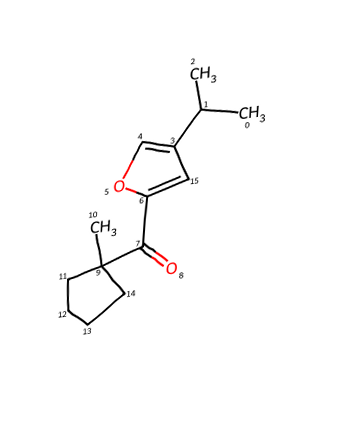 CC(C)c1coc(C(=O)C2(C)CCCC2)c1